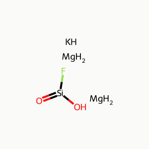 O=[Si](O)F.[KH].[MgH2].[MgH2]